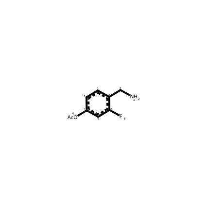 CC(=O)Oc1ccc(CN)c(F)c1